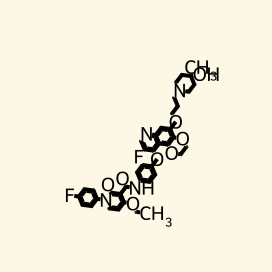 CCOc1ccn(-c2ccc(F)cc2)c(=O)c1C(=O)Nc1ccc(Oc2ccnc3cc(OCCCN4CCC(C)(O)CC4)c4c(c23)OCCO4)c(F)c1